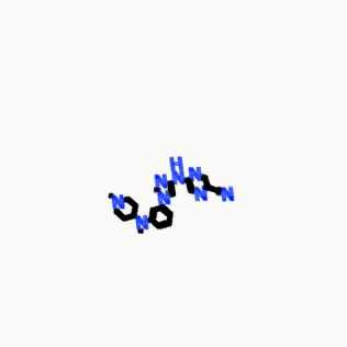 CN1CCC(N(C)c2cccc(-n3cnc(Nc4cnc(C#N)cn4)c3)c2)CC1